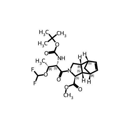 COC(=O)[C@@H]1[C@@H]2[C@H](CN1C(=O)[C@@H](NC(=O)OC(C)(C)C)[C@@H](C)OC(F)F)[C@@H]1C=C[C@H]2C1